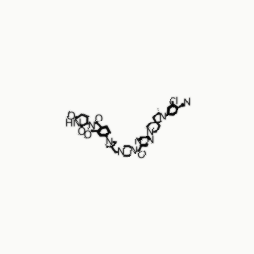 C[C@H]1CC2(CCN(c3cnc(C(=O)N4CCN(CC5CN(c6ccc7c(c6)C(=O)N(C6CCC(=O)NC6=O)C7=O)C5)CC4)cn3)CC2)CN1c1ccc(C#N)c(Cl)c1